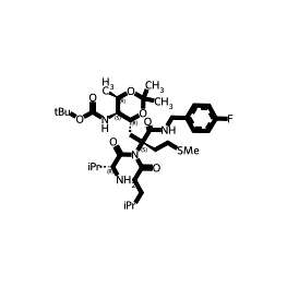 CSCC[C@@](C[C@H]1OC(C)(C)O[C@H](C)[C@@H]1NC(=O)OC(C)(C)C)(C(=O)NCc1ccc(F)cc1)N(C(=O)CCC(C)C)C(=O)[C@H](N)C(C)C